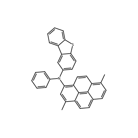 Cc1ccc2ccc3c(C)cc(N(c4ccccc4)c4ccc5sc6ccccc6c5c4)c4ccc1c2c34